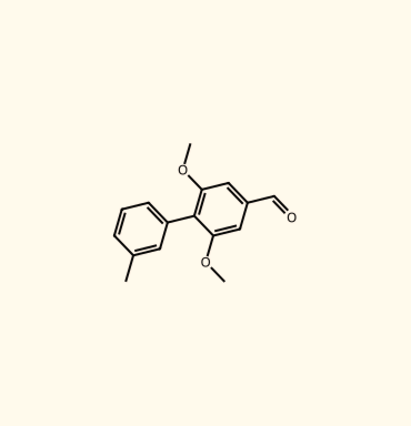 COc1cc(C=O)cc(OC)c1-c1cccc(C)c1